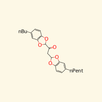 CCCCCc1ccc2c(c1)OC(CC(=O)C1Oc3ccc(CCCC)cc3O1)O2